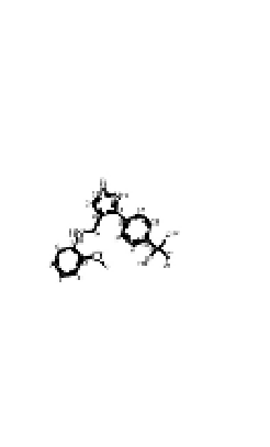 COc1ccccc1NCc1c[nH]nc1-c1ccc(C(F)(F)F)cc1